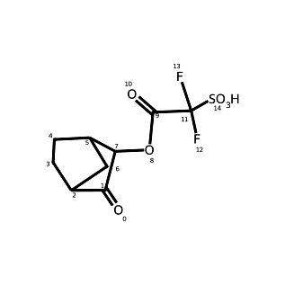 O=C1C2CCC(C2)C1OC(=O)C(F)(F)S(=O)(=O)O